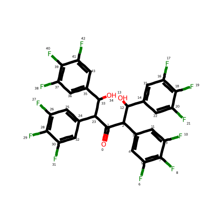 O=C(C(c1cc(F)c(F)c(F)c1)C(O)c1cc(F)c(F)c(F)c1)C(c1cc(F)c(F)c(F)c1)C(O)c1cc(F)c(F)c(F)c1